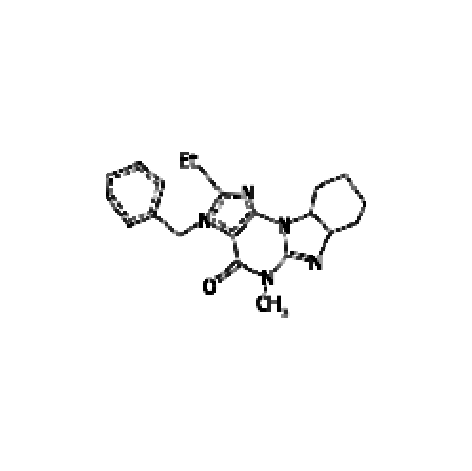 CCc1nc2c(n1Cc1ccccc1)C(=O)N(C)C1=NC3CCCCC3N12